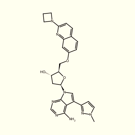 Cn1ccc(-c2cn([C@H]3C[C@H](O)[C@@H](COc4ccc5ccc(N6CCC6)nc5c4)O3)c3ncnc(N)c23)n1